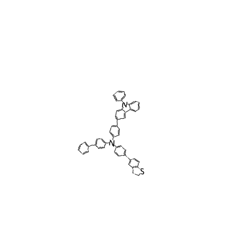 c1ccc(-c2ccc(N(c3ccc(-c4ccc5c(c4)CCS5)cc3)c3ccc(-c4ccc5c(c4)c4ccccc4n5-c4ccccc4)cc3)cc2)cc1